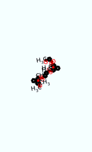 COc1ccc(C2(c3ccc(OC(=O)c4ccc5cc(C(=O)Oc6ccc(C7(c8ccc(OC(=O)c9cccc(C(C)=O)c9)c(C)c8)CCCCC7)cc6C)ccc5c4)c(C)c3)CCCCC2)cc1C